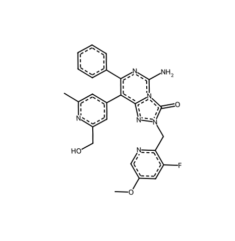 COc1cnc(Cn2nc3c(-c4cc(C)nc(CO)c4)c(-c4ccccc4)nc(N)n3c2=O)c(F)c1